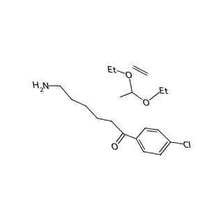 C=C.CCOC(C)OCC.NCCCCCC(=O)c1ccc(Cl)cc1